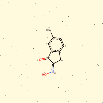 CC(C)(C)c1ccc2c(c1)C(=O)/C(=N\O)C2